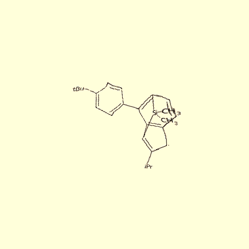 CC(C)C1=C2c3c(ccc(c3-c3ccc(C(C)(C)C)cc3)[Si]2(C)C)[CH]1